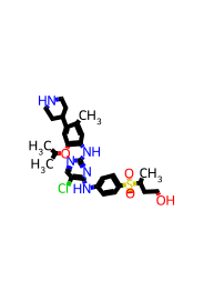 Cc1cc(Nc2ncc(Cl)c(Nc3ccc(S(=O)(=O)C(C)CCO)cc3)n2)c(OC(C)C)cc1C1CCNCC1